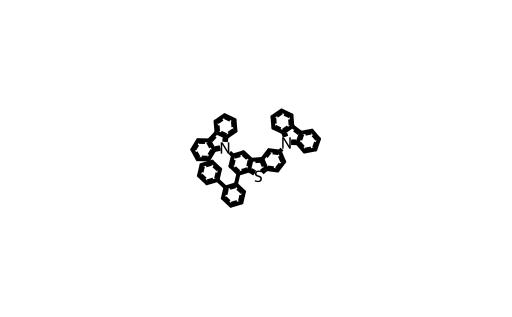 c1ccc(-c2ccccc2-c2cc(-n3c4ccccc4c4ccccc43)cc3c2sc2ccc(-n4c5ccccc5c5ccccc54)cc23)cc1